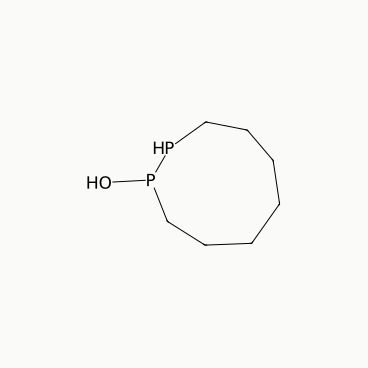 OP1CCCCCCCP1